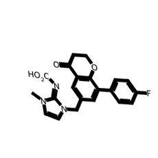 Cn1ccn(Cc2cc3c(c(-c4ccc(F)cc4)c2)OCCC3=O)c1=NC(=O)O